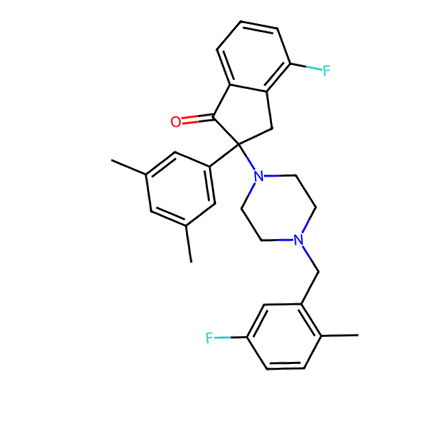 Cc1cc(C)cc(C2(N3CCN(Cc4cc(F)ccc4C)CC3)Cc3c(F)cccc3C2=O)c1